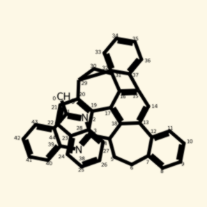 Cc1nc(C2CCc3ccccc3-c3cc4c5c(c32)-c2c(ccc3ccccc23)C(CC5)c2ccccc2-4)nc2ccccc12